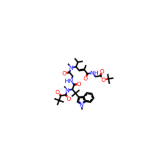 CC(=CC(C(C)C)N(C)C(=O)CNC(=O)C(N(C)C(=O)C(=O)C(C)(C)C)C(C)(C)c1cn(C)c2ccccc12)C(=O)NCC(=O)OC(C)(C)C